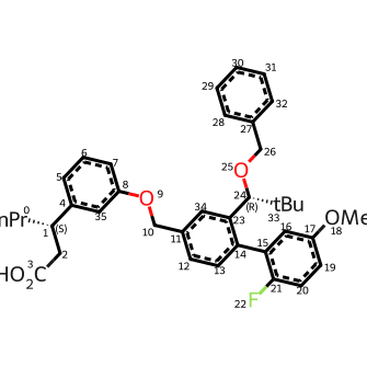 CCC[C@@H](CC(=O)O)c1cccc(OCc2ccc(-c3cc(OC)ccc3F)c([C@H](OCc3ccccc3)C(C)(C)C)c2)c1